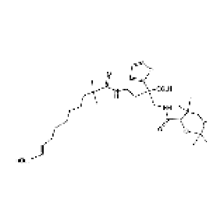 CCCCCCCCC=CCCCCCCC(C)(C)C(=O)NCCC(CNC(=O)C1OC(C)(C)OCC1(C)C)(C(=O)O)c1ccco1